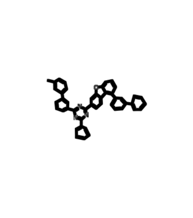 Cc1cccc(-c2cccc(-c3nc(-c4ccccc4)nc(-c4ccc5c(c4)oc4cccc(-c6cccc(-c7ccccc7)c6)c45)n3)c2)c1